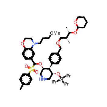 COCCCN1CCOc2ccc(C(O[C@H]3CNC[C@@H](O[Si](C(C)C)(C(C)C)C(C)C)[C@@H]3c3ccc(COC[C@@H](C)[C@H](C)OC4CCCCO4)cc3)S(=O)(=O)c3ccc(C)cc3)cc21